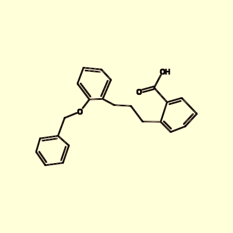 O=C(O)c1ccccc1CCCc1ccccc1OCc1ccccc1